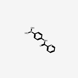 O=C(Nc1ccc(B(O)O)cc1)c1ccccn1